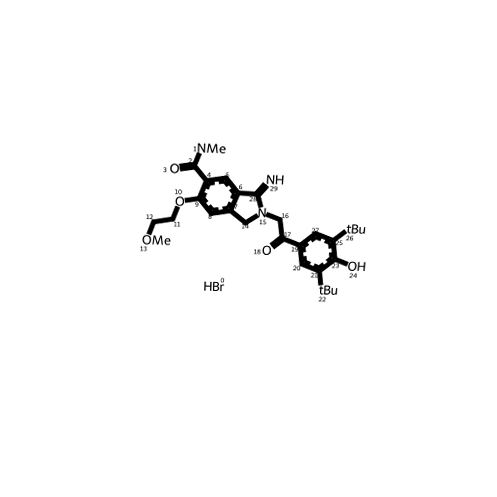 Br.CNC(=O)c1cc2c(cc1OCCOC)CN(CC(=O)c1cc(C(C)(C)C)c(O)c(C(C)(C)C)c1)C2=N